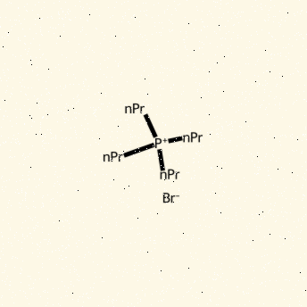 CCC[P+](CCC)(CCC)CCC.[Br-]